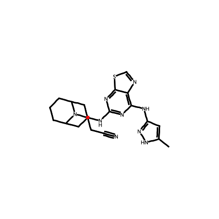 Cc1cc(Nc2nc(NC3CC4CCCC(C3)N4CCC#N)nc3scnc23)n[nH]1